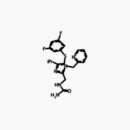 CC(C)c1nc(CNC(N)=O)n(Cc2ccccn2)c1Sc1cc(F)cc(F)c1